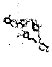 C=CCc1ccc(Oc2nc(Nc3ccc(OCCCN4CCN(C)CC4)c(F)c3)ncc2C(=O)Nc2c(C)cccc2C)c(OC)c1